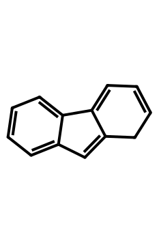 C1=CCC2=Cc3ccccc3C2=C1